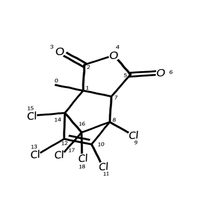 CC12C(=O)OC(=O)C1C1(Cl)C(Cl)=C(Cl)C2(Cl)C1(Cl)Cl